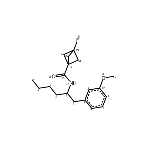 CCCCC(Cc1cccc(OC)c1)NC(=O)C12CC(F)(C1)C2